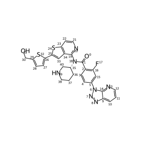 O=C(c1ccc(-n2nnc3cccnc32)cc1F)N(c1nccc2sc(-c3ccc(CO)s3)cc12)[C@@H]1CCCNC1